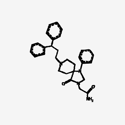 NC(=O)CN1CN(c2ccccc2)C2(CCN(CCC(c3ccccc3)c3ccccc3)CC2)C1=O